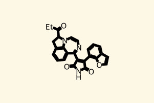 CCC(=O)C1Cc2cccc3c2N1C=CN=C3C1=C(c2cccc3ccoc23)C(=O)NC1=O